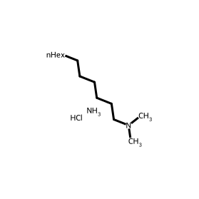 CCCCCCCCCCCCN(C)C.Cl.N